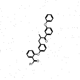 CC(C)C(=O)c1ccccc1Oc1cccc(CC(C)C(=O)c2cccc(Oc3ccccc3)c2)c1